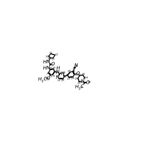 COc1cc(NC(=O)NC2CCCC2)cc(Nc2nccc(-c3ccc(OC4CCN(C(C)=O)CC4)c(C#N)c3)n2)c1